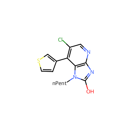 CCCCCn1c(O)nc2ncc(Cl)c(-c3ccsc3)c21